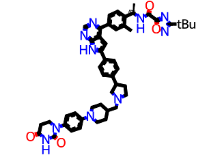 Cc1cc(-c2ncnc3[nH]c(-c4ccc(C5CCN(CC6CCN(c7ccc(N8CCC(=O)NC8=O)cc7)CC6)C5)cc4)cc23)ccc1[C@@H](C)NC(=O)c1nc(C(C)(C)C)no1